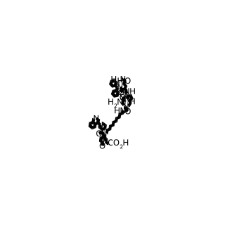 NC(=O)CCC(NC(=O)[C@@H]1CC[C@@H]2CCN(C(=O)NCCCCCCCCCCCN(C(=O)[C@H]3CCCN(c4cncc5ccccc45)C3)c3ccc(=O)n(CC(=O)O)c3)C[C@H](N)C(=O)N21)C(=O)NC(c1ccccc1)c1ccccc1